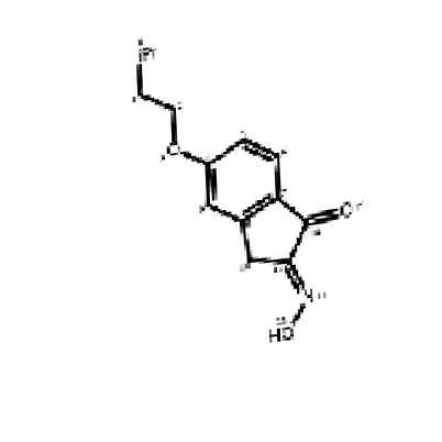 CC(C)CCOc1ccc2c(c1)CC(=NO)C2=O